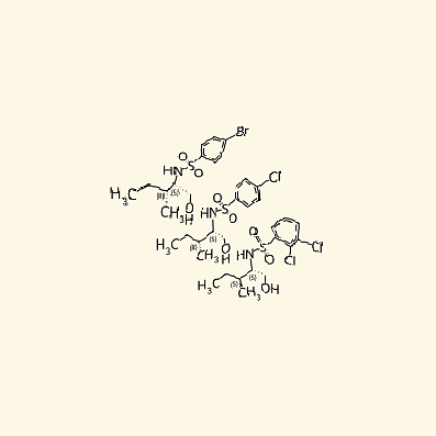 CC[C@@H](C)[C@@H](CO)NS(=O)(=O)c1ccc(Br)cc1.CC[C@@H](C)[C@@H](CO)NS(=O)(=O)c1ccc(Cl)cc1.CC[C@H](C)[C@@H](CO)NS(=O)(=O)c1cccc(Cl)c1Cl